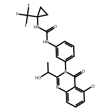 CC(O)c1nc2cccc(Cl)c2c(=O)n1-c1cccc(NC(=O)NC2(C(F)(F)F)CC2)c1